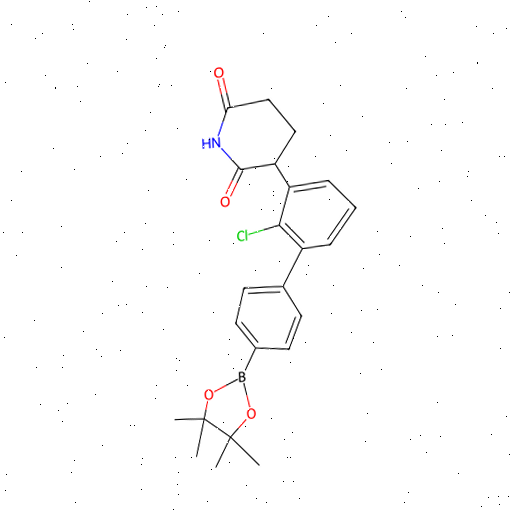 CC1(C)OB(c2ccc(-c3cccc(C4CCC(=O)NC4=O)c3Cl)cc2)OC1(C)C